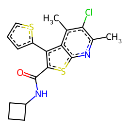 Cc1nc2sc(C(=O)NC3CCC3)c(-c3cccs3)c2c(C)c1Cl